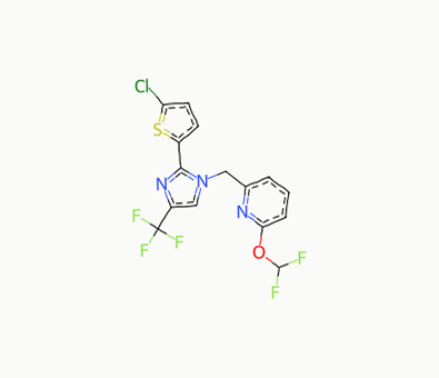 FC(F)Oc1cccc(Cn2cc(C(F)(F)F)nc2-c2ccc(Cl)s2)n1